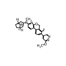 COc1cc(-c2ccc3c(c2F)COc2nc(N(C)C4C[C@H]5CC[C@@H](C4)N5)ccc2-3)cnn1